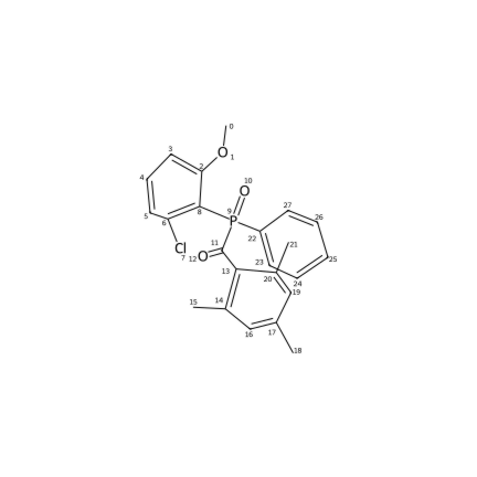 COc1cccc(Cl)c1P(=O)(C(=O)c1c(C)cc(C)cc1C)c1ccccc1